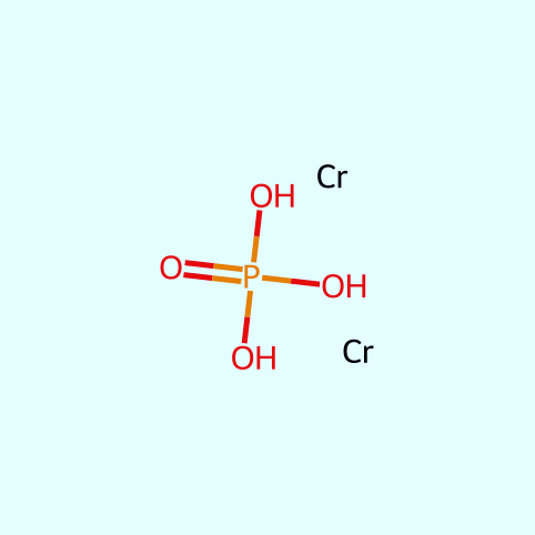 O=P(O)(O)O.[Cr].[Cr]